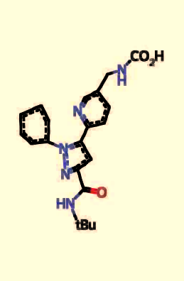 CC(C)(C)NC(=O)c1cc(-c2ccc(CNC(=O)O)cn2)n(-c2ccccc2)n1